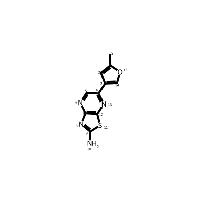 Cc1cc(-c2cnc3nc(N)sc3n2)co1